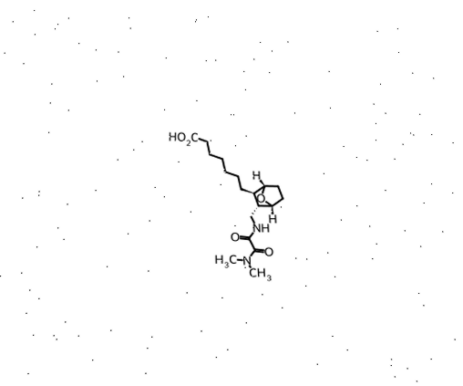 CN(C)C(=O)C(=O)NC[C@@H]1[C@@H](CCCCCCC(=O)O)[C@@H]2CC[C@H]1O2